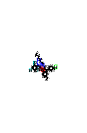 CCCCCCCN(Cc1oc2ccc(CC)cc2c1-c1ccc(Cl)cc1)C(=O)Nc1c(F)cc(F)cc1F